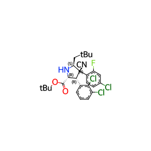 CC(C)(C)C[C@@H]1N[C@@H](C(=O)OC(C)(C)C)[C@@H](c2cccc(Cl)c2Cl)[C@@]1(C#N)c1ccc(Cl)cc1F